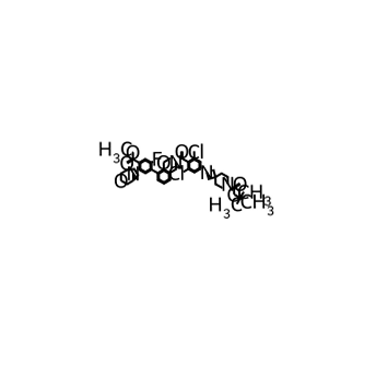 COC(=O)c1cc(F)c(-c2cccc3c2OCN(C(=O)c2c(Cl)cc(N4CC5(CCN(C(=O)OC(C)(C)C)CC5)C4)cc2Cl)C3)cc1N1C2CCC1COC2